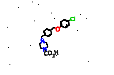 O=C(O)N1CCN(Cc2ccc(COc3ccc(Cl)cc3)cc2)CC1